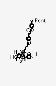 CCCCCOc1ccc(OC(=O)C=Cc2ccc(OCCCCCCC(N)(c3ccccc3)C(C(=O)O)(C(=O)O)C(N)c3ccccc3)cc2)cc1